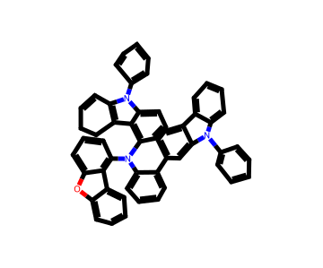 C1=Cc2c(c3c(N(c4ccccc4-c4ccc5c6ccccc6n(-c6ccccc6)c5c4)c4cccc5oc6ccccc6c45)cccc3n2-c2ccccc2)CC1